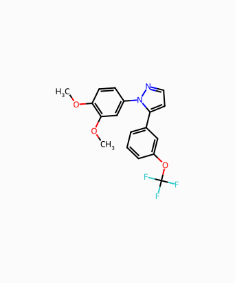 COc1ccc(-n2nccc2-c2cccc(OC(F)(F)F)c2)cc1OC